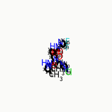 CC1CCCN(NC(=O)C2CC34CCC(O3)C(C(=O)Nc3cc(F)c(F)cn3)C4C(=O)N2C(C)CN2CCN(Cl)CC2)C1C